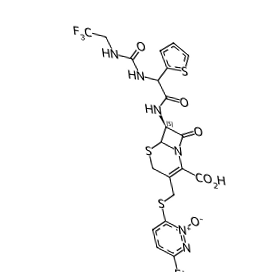 CCc1ccc(SCC2=C(C(=O)O)N3C(=O)[C@H](NC(=O)C(NC(=O)NCC(F)(F)F)c4cccs4)C3SC2)[n+]([O-])n1